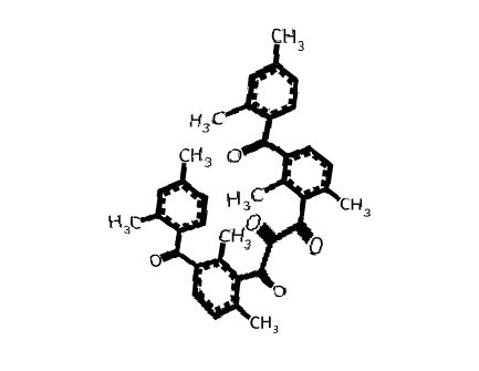 Cc1ccc(C(=O)c2ccc(C)c(C(=O)C(=O)C(=O)c3c(C)ccc(C(=O)c4ccc(C)cc4C)c3C)c2C)c(C)c1